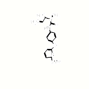 C=CC(C)N(C)C(=O)Nc1ccc(Oc2cccc(SC)n2)cc1